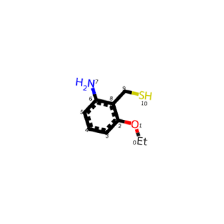 CCOc1cccc(N)c1CS